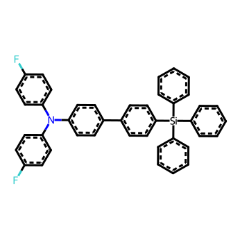 Fc1ccc(N(c2ccc(F)cc2)c2ccc(-c3ccc([Si](c4ccccc4)(c4ccccc4)c4ccccc4)cc3)cc2)cc1